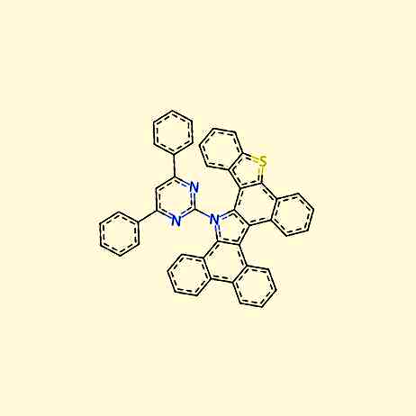 c1ccc(-c2cc(-c3ccccc3)nc(-n3c4c5ccccc5c5ccccc5c4c4c5ccccc5c5sc6ccccc6c5c43)n2)cc1